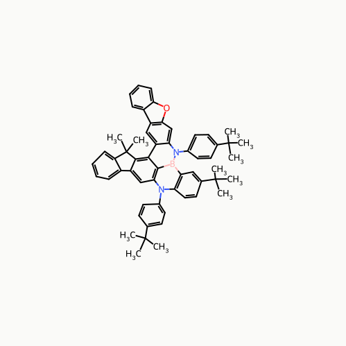 CC(C)(C)c1ccc(N2B3c4cc(C(C)(C)C)ccc4N(c4ccc(C(C)(C)C)cc4)c4cc5c(c(c43)-c3cc4c(cc32)oc2ccccc24)C(C)(C)c2ccccc2-5)cc1